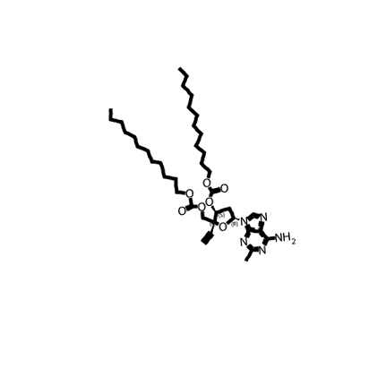 C#C[C@]1(COC(=O)OCCCCCCCCCCCC)O[C@@H](n2cnc3c(N)nc(C)nc32)C[C@@H]1OC(=O)OCCCCCCCCCCCC